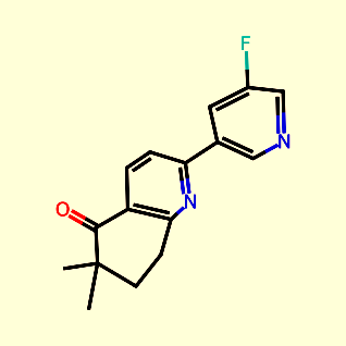 CC1(C)CCc2nc(-c3cncc(F)c3)ccc2C1=O